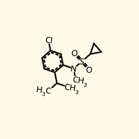 CC(C)c1ccc(Cl)cc1N(C)S(=O)(=O)C1CC1